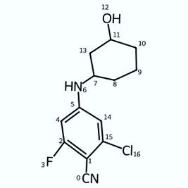 N#Cc1c(F)cc(NC2CCCC(O)C2)cc1Cl